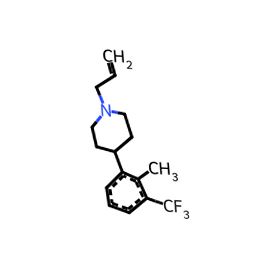 C=CCN1CCC(c2cccc(C(F)(F)F)c2C)CC1